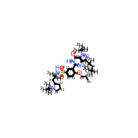 [2H]C([2H])([2H])CC([2H])([2H])c1nn(C([2H])([2H])[2H])c2c(=O)[nH]c(-c3cc(S(=O)(=O)NC([2H])([2H])CC4CCCN4C([2H])([2H])[2H])ccc3OCCC)nc12